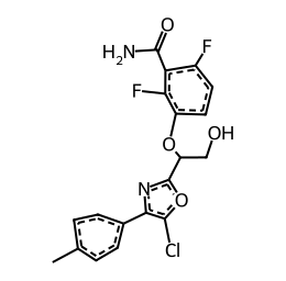 Cc1ccc(-c2nc(C(CO)Oc3ccc(F)c(C(N)=O)c3F)oc2Cl)cc1